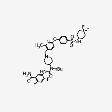 CCCCN(C(=O)Nc1cc(C(N)=O)c(F)cc1F)C1CCN(Cc2ccc(Oc3ccc(S(=O)(=O)NC4CCC(F)(F)CC4)cc3)nc2C)CC1